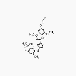 COc1cc(OCCF)cc(OC)c1NC(=O)c1ccc(Oc2cc3c(cc2C)CCC3(C)C)o1